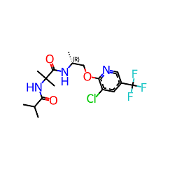 CC(C)C(=O)NC(C)(C)C(=O)N[C@H](C)COc1ncc(C(F)(F)F)cc1Cl